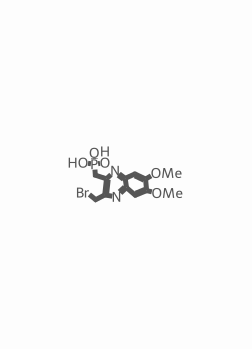 COc1cc2nc(CBr)c(CP(=O)(O)O)nc2cc1OC